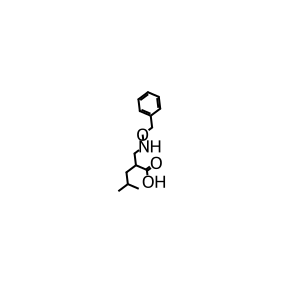 CC(C)CC(CNOCc1ccccc1)C(=O)O